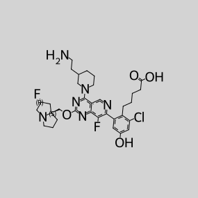 NCCC1CCCN(c2nc(OC[C@@]34CCCN3C[C@H](F)C4)nc3c(F)c(-c4cc(O)cc(Cl)c4CCCCC(=O)O)ncc23)C1